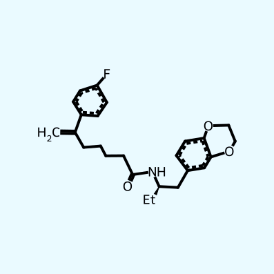 C=C(CCCCC(=O)N[C@H](CC)Cc1ccc2c(c1)OCCO2)c1ccc(F)cc1